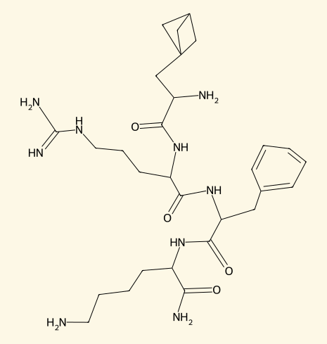 N=C(N)NCCCC(NC(=O)C(N)CC12CC(C1)C2)C(=O)NC(Cc1ccccc1)C(=O)NC(CCCCN)C(N)=O